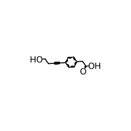 O=C(O)Cc1ccc(C#CCCO)cc1